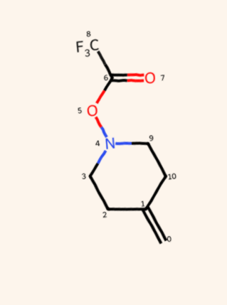 C=C1CCN(OC(=O)C(F)(F)F)CC1